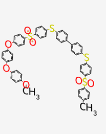 COc1ccc(Oc2ccc(Oc3ccc(S(=O)(=O)c4ccc(Sc5ccc(-c6ccc(Sc7ccc(S(=O)(=O)c8ccc(C)cc8)cc7)cc6)cc5)cc4)cc3)cc2)cc1